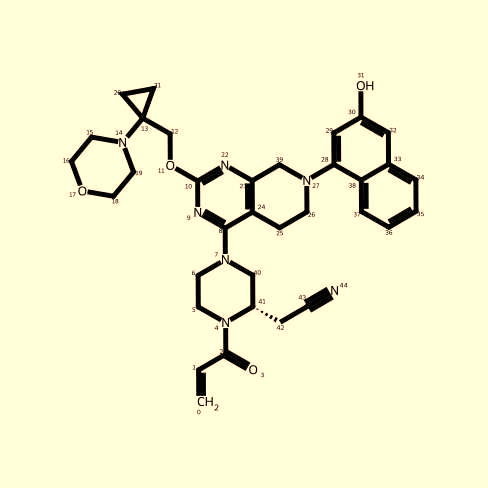 C=CC(=O)N1CCN(c2nc(OCC3(N4CCOCC4)CC3)nc3c2CCN(c2cc(O)cc4ccccc24)C3)C[C@@H]1CC#N